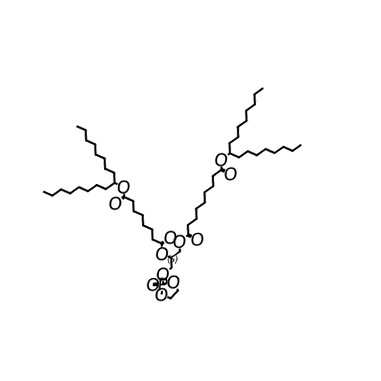 CCCCCCCCC(CCCCCCCC)OC(=O)CCCCCCCC(=O)OC[C@@H](COP1(=O)OCCO1)OC(=O)CCCCCCC(=O)OC(CCCCCCCC)CCCCCCCC